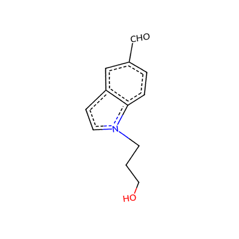 O=Cc1ccc2c(ccn2CCCO)c1